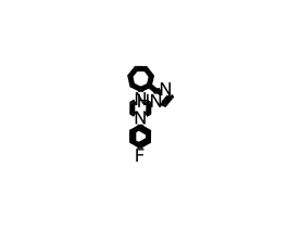 Fc1ccc(N2CCN(C3CCCCCC3c3ncc[nH]3)CC2)cc1